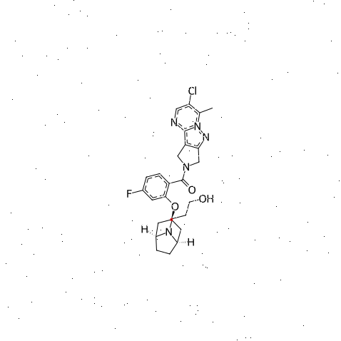 Cc1c(Cl)cnc2c3c(nn12)CN(C(=O)c1ccc(F)cc1O[C@H]1C[C@H]2CC[C@@H](C1)N2CCCO)C3